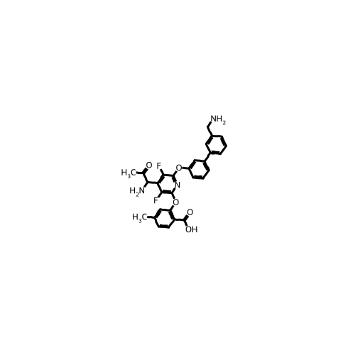 CC(=O)C(N)c1c(F)c(Oc2cccc(-c3cccc(CN)c3)c2)nc(Oc2cc(C)ccc2C(=O)O)c1F